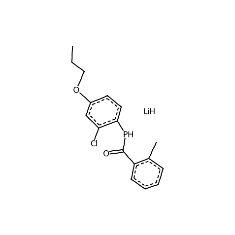 CCCOc1ccc(PC(=O)c2ccccc2C)c(Cl)c1.[LiH]